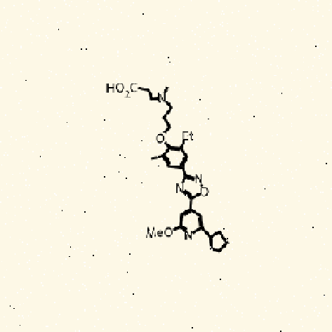 CCc1cc(-c2noc(-c3cc(OC)nc(C4CCCC4)c3)n2)cc(C)c1OCCCN(C)CCC(=O)O